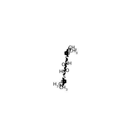 CN(C)Cc1ccc(CSCCNC(=O)CCC(=O)NCCSCc2ccc(CN(C)C)o2)o1